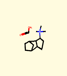 C[N+](C)(C)C1CCC2C3CCC(C3)C21.O=CO